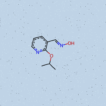 CC(C)Oc1ncccc1C=NO